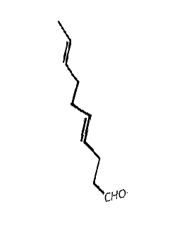 C/C=C/CC/C=C/CC[C]=O